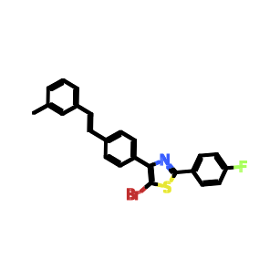 Cc1cccc(C=Cc2ccc(-c3nc(-c4ccc(F)cc4)sc3Br)cc2)c1